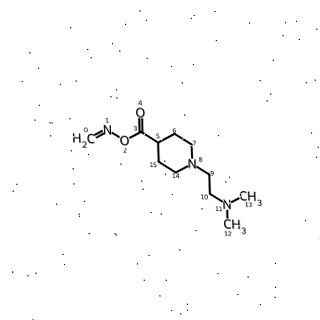 C=NOC(=O)C1CCN(CCN(C)C)CC1